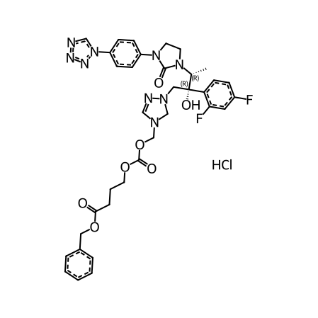 C[C@@H](N1CCN(c2ccc(-n3cnnn3)cc2)C1=O)[C@](O)(CN1CN(COC(=O)OCCCC(=O)OCc2ccccc2)C=N1)c1ccc(F)cc1F.Cl